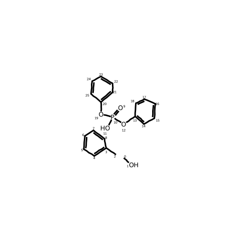 CO.Cc1ccccc1.O=P(O)(Oc1ccccc1)Oc1ccccc1